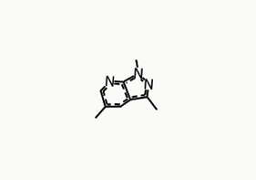 Cc1cnc2c(c1)c(C)nn2C